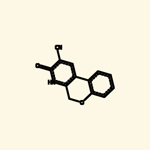 N#Cc1cc2c([nH]c1=O)COc1ccccc1-2